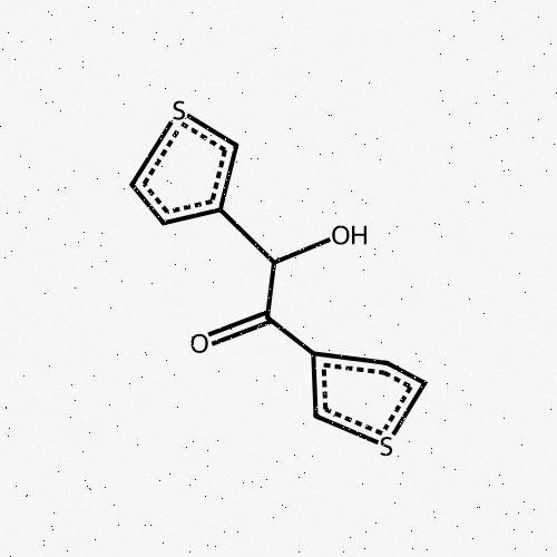 O=C(c1ccsc1)C(O)c1ccsc1